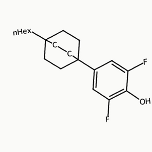 CCCCCCC12CCC(c3cc(F)c(O)c(F)c3)(CC1)CC2